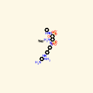 Nc1ccc(N=Nc2ccc(-c3ccc(N=Nc4c(S(=O)(=O)[O-])cc5c(c4N)C(=O)/C(=N\Nc4ccccc4)C(S(=O)(=O)[O-])=C5)cc3)cc2)c(N)c1.[Na+].[Na+]